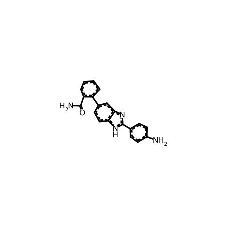 NC(=O)c1ccccc1-c1ccc2[nH]c(-c3ccc(N)cc3)nc2c1